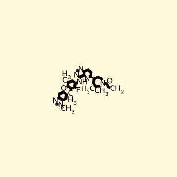 C=CC(=O)N1CC[C@H](c2ccc3ncnc(Nc4cc(C)c(Oc5ccc6c(c5)ncn6C)c(C)c4F)c3n2)CC(C)(C)C1